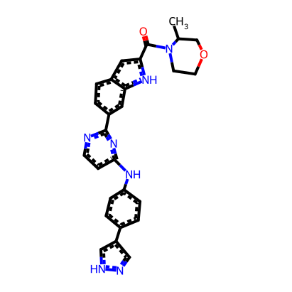 CC1COCCN1C(=O)c1cc2ccc(-c3nccc(Nc4ccc(-c5cn[nH]c5)cc4)n3)cc2[nH]1